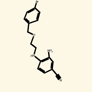 N#Cc1ccc(NCCOCc2ccc(Br)cc2)c(N)c1